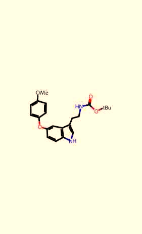 COc1ccc(Oc2ccc3[nH]cc(CCNC(=O)OC(C)(C)C)c3c2)cc1